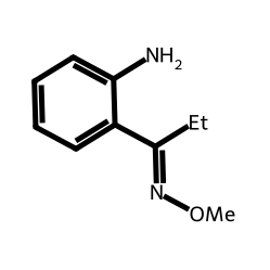 CC/C(=N\OC)c1ccccc1N